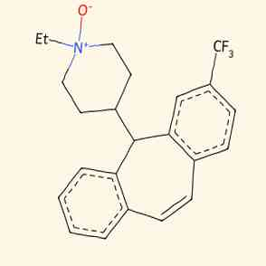 CC[N+]1([O-])CCC(C2c3ccccc3C=Cc3ccc(C(F)(F)F)cc32)CC1